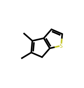 CC1=C(C)c2ccsc2C1